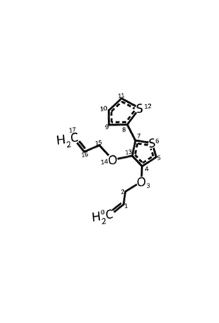 C=CCOc1csc(-c2cccs2)c1OCC=C